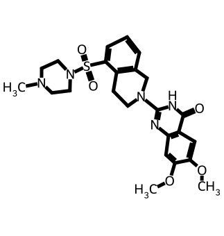 COc1cc2nc(N3CCc4c(cccc4S(=O)(=O)N4CCN(C)CC4)C3)[nH]c(=O)c2cc1OC